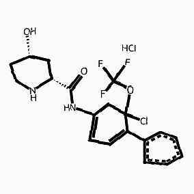 Cl.O=C(NC1=CC=C(c2ccccc2)C(Cl)(OC(F)(F)F)C1)[C@H]1C[C@@H](O)CCN1